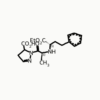 CCOC(=O)[C@H](CCc1ccccc1)N[C@@H](C)C(=O)N1N=CCC1C(=O)O